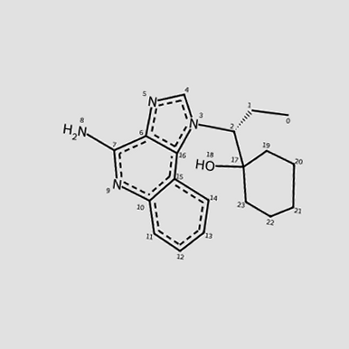 CC[C@@H](n1cnc2c(N)nc3ccccc3c21)C1(O)CCCCC1